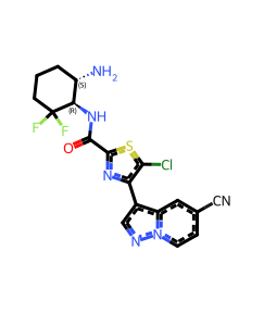 N#Cc1ccn2ncc(-c3nc(C(=O)N[C@@H]4[C@@H](N)CCCC4(F)F)sc3Cl)c2c1